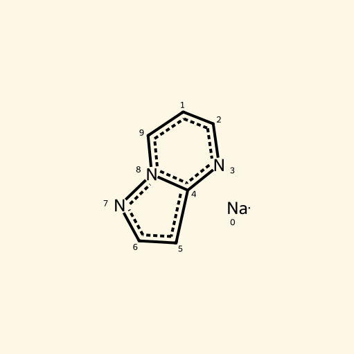 [Na].c1cnc2ccnn2c1